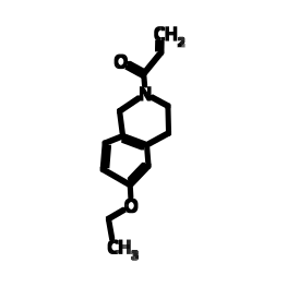 C=CC(=O)N1CCc2cc(OCC)ccc2C1